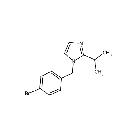 CC(C)c1nccn1Cc1ccc(Br)cc1